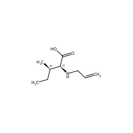 C=CCN[C@H](C(=O)O)[C@H](C)CC